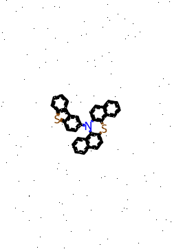 c1ccc2c3c(ccc2c1)N(c1ccc2sc4ccccc4c2c1)c1c(ccc2ccccc12)S3